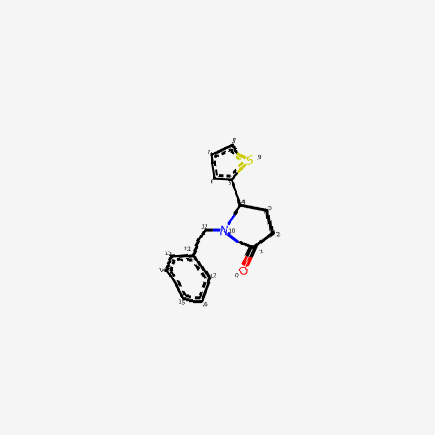 O=C1CCC(c2cccs2)N1Cc1ccccc1